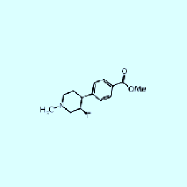 COC(=O)c1ccc([C@@H]2CCN(C)C[C@@H]2F)cc1